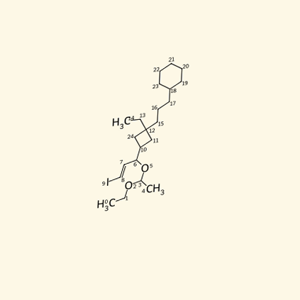 CCOC(C)OC(/C=C/I)C1CC(CC)(CCCC2CCCCC2)C1